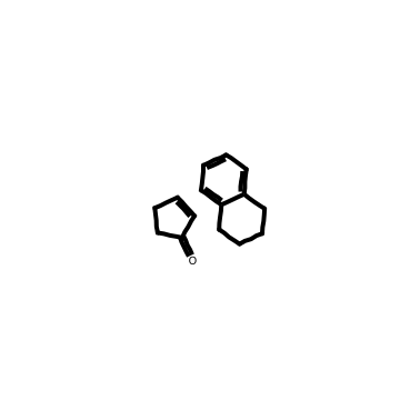 O=C1C=CCC1.c1ccc2c(c1)CCCC2